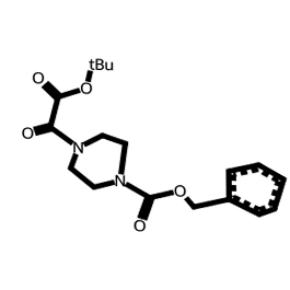 CC(C)(C)OC(=O)C(=O)N1CCN(C(=O)OCc2ccccc2)CC1